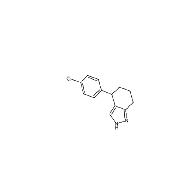 Clc1ccc(C2CCCc3n[nH]cc32)cc1